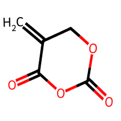 C=C1COC(=O)OC1=O